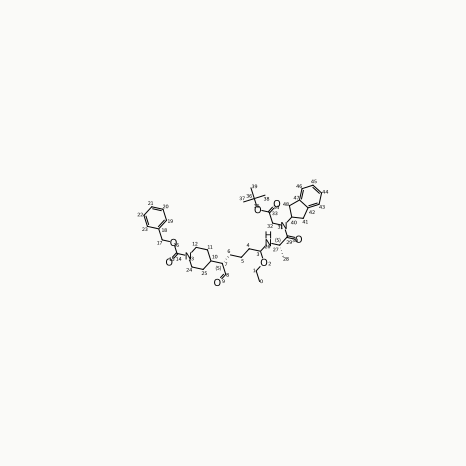 CCOC(CCC[C@H](C=O)C1CCN(C(=O)OCc2ccccc2)CC1)N[C@@H](C)C(=O)N(CC(=O)OC(C)(C)C)C1Cc2ccccc2C1